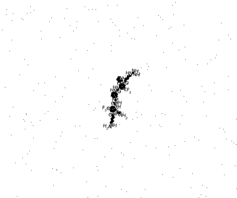 N=C(N)NCCCCC(=O)Nc1cc(C(F)(F)F)cc(NC(=O)Nc2ccc3nc(NC(=O)Nc4cc(C(F)(F)F)cc(NC(=O)CCCCNN)c4SCCN)sc3c2)c1O[C@@H]1CCNC1